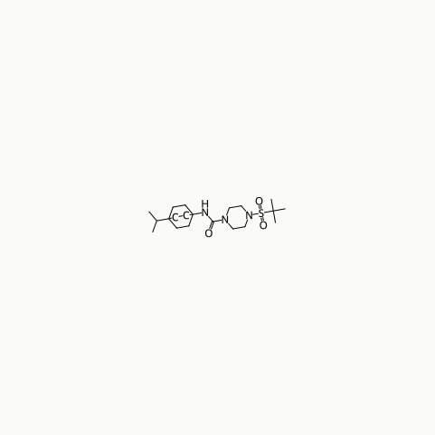 CC(C)C12CCC(NC(=O)N3CCN(S(=O)(=O)C(C)(C)C)CC3)(CC1)CC2